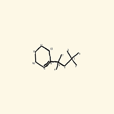 CC(C)(C)CC(C)(C)C1=CCCCC1